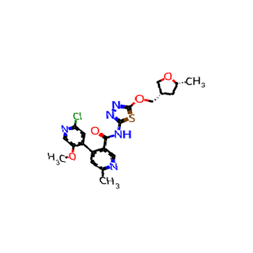 COc1cnc(Cl)cc1-c1cc(C)ncc1C(=O)Nc1nnc(OC[C@@H]2CO[C@H](C)C2)s1